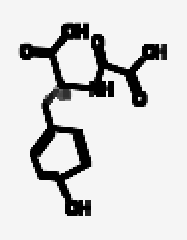 O=C(O)C(=O)N[C@H](Cc1ccc(O)cc1)C(=O)O